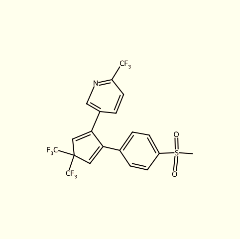 CS(=O)(=O)c1ccc(C2=CC(C(F)(F)F)(C(F)(F)F)C=C2c2ccc(C(F)(F)F)nc2)cc1